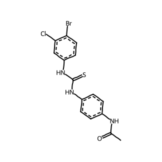 CC(=O)Nc1ccc(NC(=S)Nc2ccc(Br)c(Cl)c2)cc1